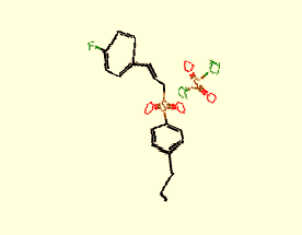 CCCc1ccc(S(=O)(=O)CC=Cc2ccc(F)cc2)cc1.O=S(=O)(Cl)Cl